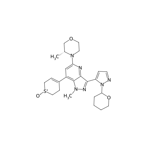 C[C@@H]1COCCN1c1cc(C2=CC[S+]([O-])CC2)c2c(n1)c(-c1ccnn1C1CCCCO1)nn2C